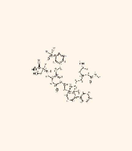 COC(=O)[C@@H]1C[C@@H](O)CN1CCCOC1(COc2cc(OCc3cncc(S(C)(=O)=O)c3)c(CNC(C)(CO)C(=O)O)cc2Cl)C=CC=C(c2ccccc2)C1(C)Cl